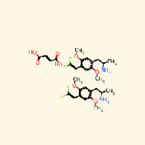 COc1cc(CC(C)N)c(OC)cc1C=C(F)F.COc1cc(CC(C)N)c(OC)cc1C=C(F)F.O=C(O)/C=C/C(=O)O